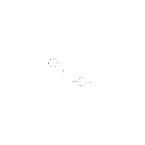 NC(C(=O)NCCc1ccc([N+](=O)[O-])cc1)c1ccccc1